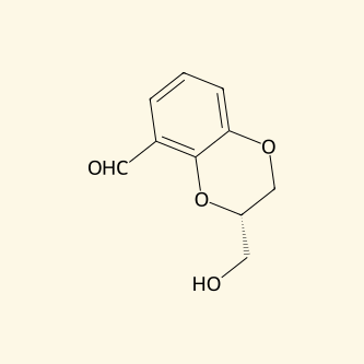 O=Cc1cccc2c1O[C@@H](CO)CO2